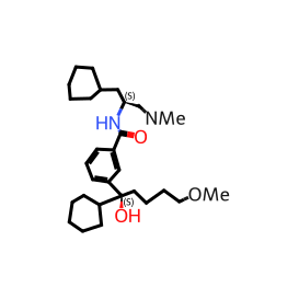 CNC[C@H](CC1CCCCC1)NC(=O)c1cccc([C@](O)(CCCCOC)C2CCCCC2)c1